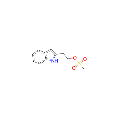 CS(=O)(=O)OCCc1cc2ccccc2[nH]1